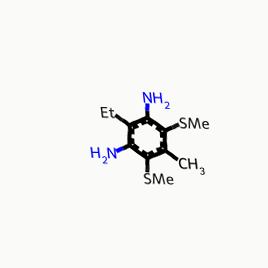 CCc1c(N)c(SC)c(C)c(SC)c1N